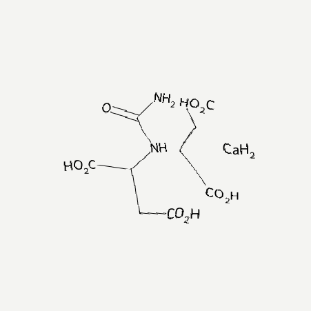 NC(=O)NC(CC(=O)O)C(=O)O.O=C(O)CCC(=O)O.[CaH2]